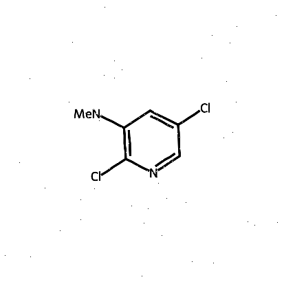 CNc1cc(Cl)cnc1Cl